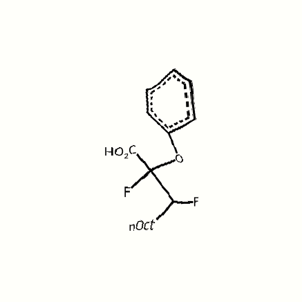 CCCCCCCCC(F)C(F)(Oc1ccccc1)C(=O)O